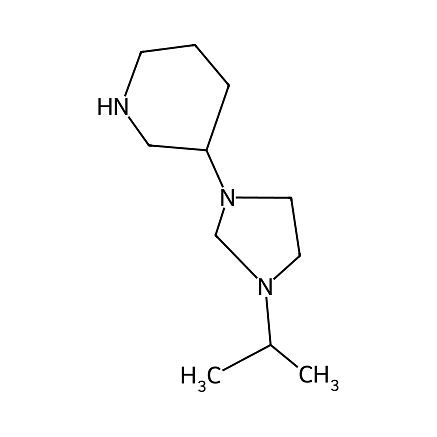 CC(C)N1CCN(C2CCCNC2)C1